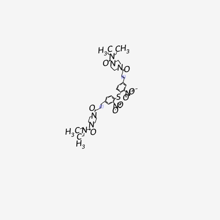 CCN(CC)C(=O)N1CCN(C(=O)/C=C/c2ccc(Sc3ccc(/C=C/C(=O)N4CCN(C(=O)N(CC)CC)CC4)cc3[N+](=O)[O-])c([N+](=O)[O-])c2)CC1